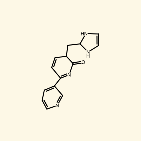 O=C1N=C(c2cccnc2)C=CC1CC1NC=CN1